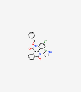 O=C(NOCc1ccccc1)[C@H]1c2ccccc2C(=O)N([C@H]2CCNC2)[C@@H]1c1ccc(Cl)cc1Cl